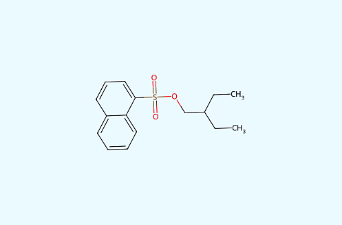 CCC(CC)COS(=O)(=O)c1cccc2ccccc12